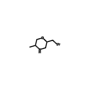 CC(C)CC1CNC(C)CO1